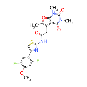 Cc1oc2c(c1CC(=O)Nc1nc(-c3cc(F)c(OC(F)(F)F)cc3F)cs1)c(=O)n(C)c(=O)n2C